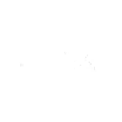 CCCCCCCCCCc1ccc(C(=O)N(C)O)cc1.[Ar]